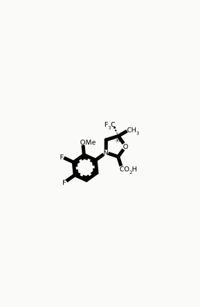 COc1c(N2C[C@](C)(C(F)(F)F)OC2C(=O)O)ccc(F)c1F